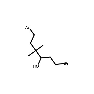 [CH2]C(=O)CCC(C)(C)C(O)CCC(C)C